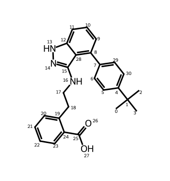 CC(C)(C)c1ccc(-c2cccc3[nH]nc(NCCc4ccccc4C(=O)O)c23)cc1